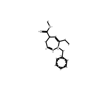 CCC1=CC(C(=O)OC)CC=NP1Cc1ccccc1